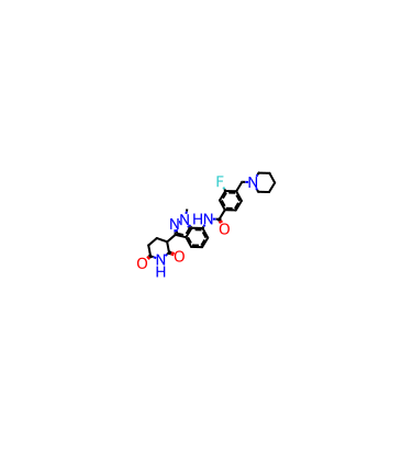 Cn1nc(C2CCC(=O)NC2=O)c2cccc(NC(=O)c3ccc(CN4CCCCC4)c(F)c3)c21